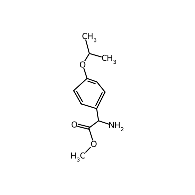 COC(=O)C(N)c1ccc(OC(C)C)cc1